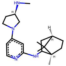 CN[C@@H]1CCN(c2ccnc(NC3C[C@H]4CC[C@]3(C)C4(C)C)c2)C1